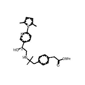 COC(=O)Cc1ccc(CC(C)(C)NC[C@@H](O)c2ccc(-n3c(C)ccc3C)nc2)cc1